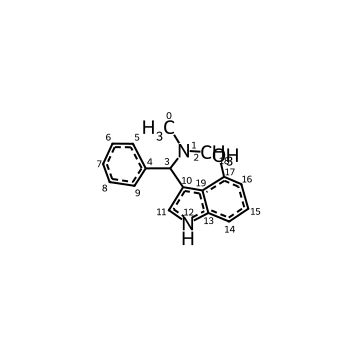 CN(C)C(c1ccccc1)c1c[nH]c2cccc(O)c12